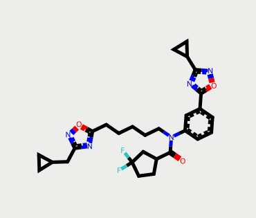 O=C(C1CCC(F)(F)C1)N(CCCCCc1nc(CC2CC2)no1)c1cccc(-c2nc(C3CC3)no2)c1